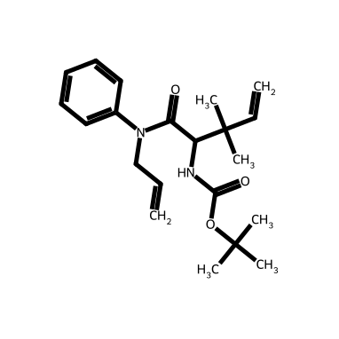 C=CCN(C(=O)C(NC(=O)OC(C)(C)C)C(C)(C)C=C)c1ccccc1